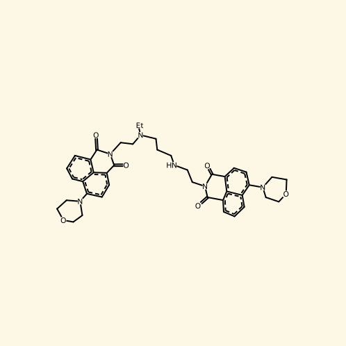 CCN(CCCNCCN1C(=O)c2cccc3c(N4CCOCC4)ccc(c23)C1=O)CCN1C(=O)c2cccc3c(N4CCOCC4)ccc(c23)C1=O